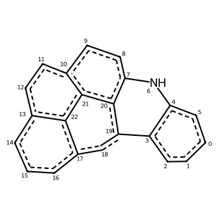 c1ccc2c(c1)Nc1ccc3ccc4cccc5cc-2c1c3c45